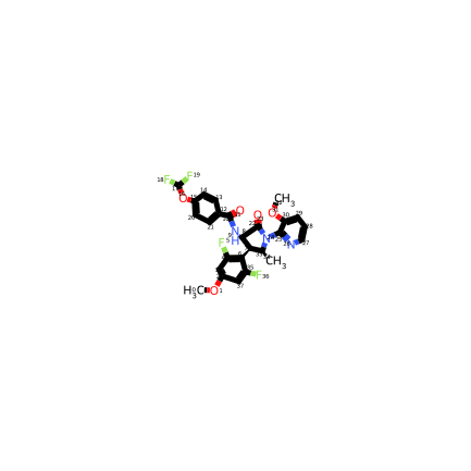 COc1cc(F)c([C@H]2[C@H](NC(=O)c3ccc(OC(F)F)cc3)C(=O)N(c3ncccc3OC)[C@H]2C)c(F)c1